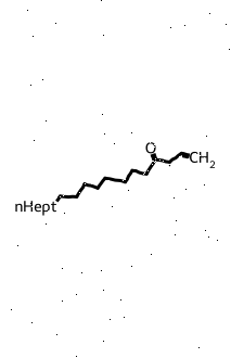 C=C[CH]C(=O)CCCCCCCCCCCCCCC